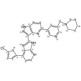 Clc1ccc(-c2ccnc3[nH]c(-c4n[nH]c5ccc(-c6cncc(CN7CCCCC7)c6)nc45)nc23)s1